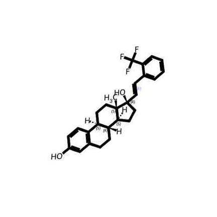 C[C@]12CC[C@@H]3c4ccc(O)cc4CC[C@H]3[C@@H]1CC[C@@]2(O)/C=C/c1ccccc1C(F)(F)F